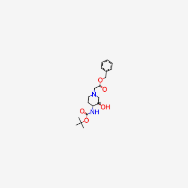 CC(C)(C)OC(=O)NC1CCN(CC(=O)OCc2ccccc2)C[C@H]1O